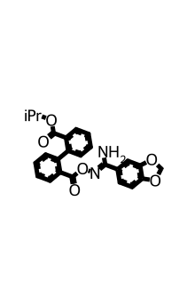 CC(C)OC(=O)c1ccccc1-c1ccccc1C(=O)O/N=C(\N)c1ccc2c(c1)OCO2